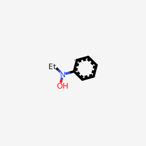 CCN(O)c1[c]cccc1